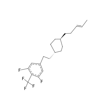 C/C=C/CC[C@H]1CC[C@H](CCc2cc(F)c(C(F)(F)F)c(F)c2)CC1